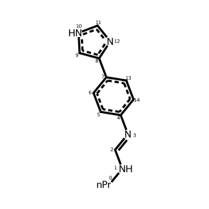 CCCN/C=N/c1ccc(-c2c[nH]cn2)cc1